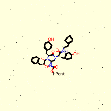 CCCCCOC(=O)N1O[C@H](Cc2ccccc2)C(=O)N2C1CN([C@@H](Cc1ccc(O)cc1)C(=O)NCCc1ccccc1)C(=O)[C@@H]2Cc1ccc(O)cc1